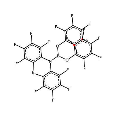 Fc1c(F)c(F)c(OB(Oc2c(F)c(F)c(F)c(F)c2F)N(c2c(F)c(F)c(F)c(F)c2F)c2c(F)c(F)c(F)c(F)c2F)c(F)c1F